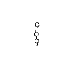 O=C(O)c1ccc(-c2ccc(C(=O)Oc3ccccc3)cc2)cc1